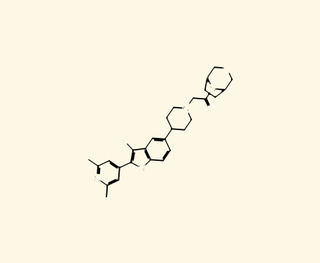 Cc1cc(-c2[nH]c3ccc(C4CCN(CC(=O)N5C6CCC5COC6)CC4)cc3c2C(C)C)cc(C)n1